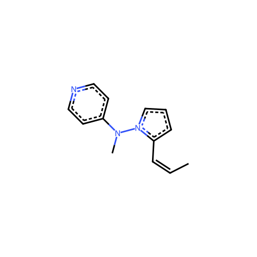 C/C=C\c1cccn1N(C)c1ccncc1